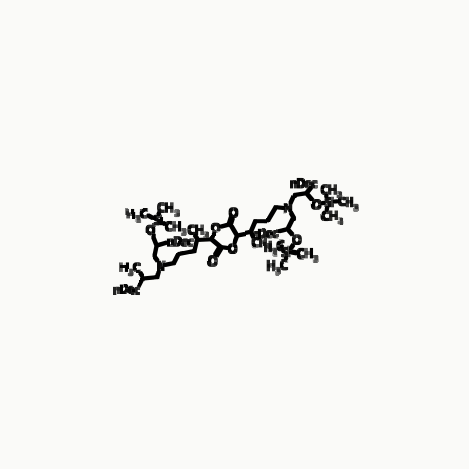 CCCCCCCCCCC(C)CN(CCCC(C)C1OC(=O)C(C(C)CCCN(CC(CCCCCCCCCC)O[Si](C)(C)C)CC(CCCCCCCCCC)O[Si](C)(C)C)OC1=O)CC(CCCCCCCCCC)O[Si](C)(C)C